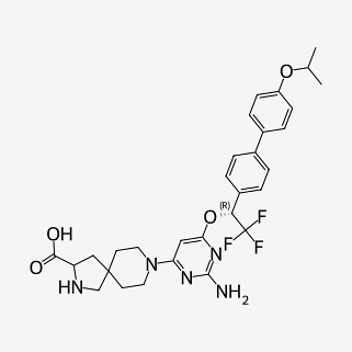 CC(C)Oc1ccc(-c2ccc([C@@H](Oc3cc(N4CCC5(CC4)CNC(C(=O)O)C5)nc(N)n3)C(F)(F)F)cc2)cc1